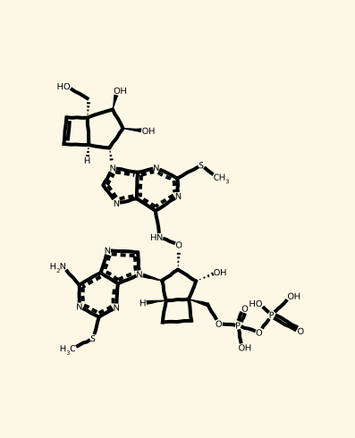 CSc1nc(NO[C@H]2[C@H](n3cnc4c(N)nc(SC)nc43)[C@H]3CC[C@@]3(COP(=O)(O)OP(=O)(O)O)[C@H]2O)c2ncn([C@H]3[C@H](O)[C@H](O)[C@]4(CO)C=C[C@H]34)c2n1